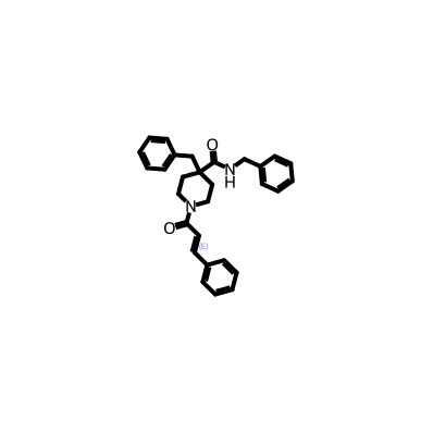 O=C(/C=C/c1ccccc1)N1CCC(Cc2ccccc2)(C(=O)NCc2ccccc2)CC1